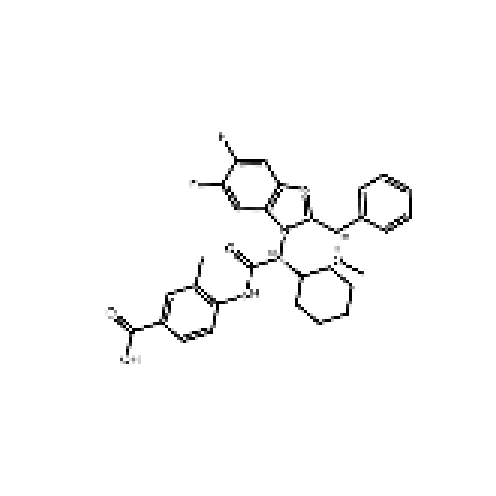 CO[C@@H](c1ccccc1)c1nc2cc(F)c(F)cc2n1[C@H](C(=O)Nc1ccc(C(=O)O)cc1C)C1CCCCC1